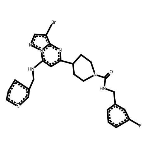 O=C(NCc1cccc(F)c1)N1CCC(c2cc(NCc3cccnc3)n3ncc(Br)c3n2)CC1